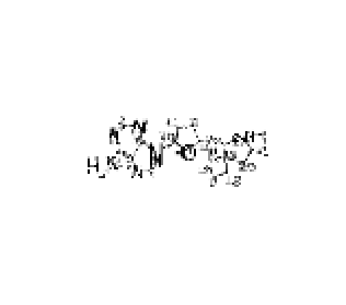 Nc1ncnc2c1ncn2C1CCC(CN2CCCC23CCNC3)O1